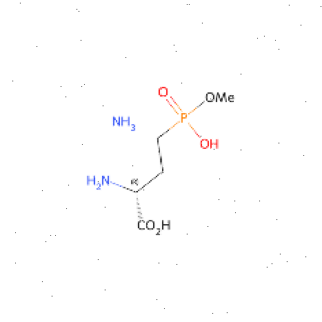 COP(=O)(O)CC[C@@H](N)C(=O)O.N